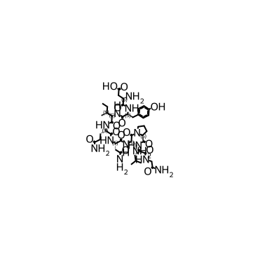 CC[C@H](C)[C@H](NC(=O)[C@H](Cc1ccc(O)cc1)NC(=O)[C@@H](N)CC(=O)O)C(=O)N[C@@H](CCC(N)=O)C(=O)N[C@@H](CC(N)=O)C(=O)N[C@@H](CN)C(=O)N1CCC[C@H]1C(=O)N[C@@H](CC(C)C)C(=O)NCC(N)=O